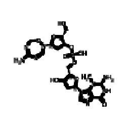 CN1c2c(ncn2[C@H]2CC(O)[C@@H](COP(=O)(O)OC3C[C@H](N4C=NC(N)=NCO4)O[C@@H]3CO)O2)C(=O)NC1N